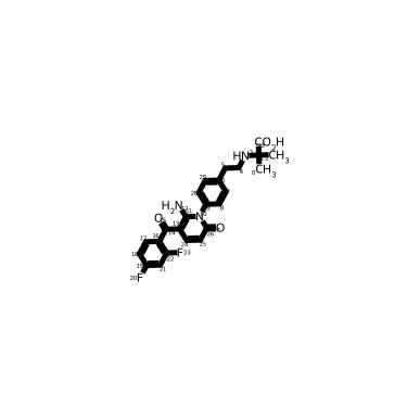 CC(C)(NCCc1ccc(-n2c(N)c(C(=O)c3ccc(F)cc3F)ccc2=O)cc1)C(=O)O